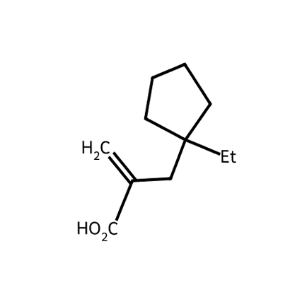 C=C(CC1(CC)CCCC1)C(=O)O